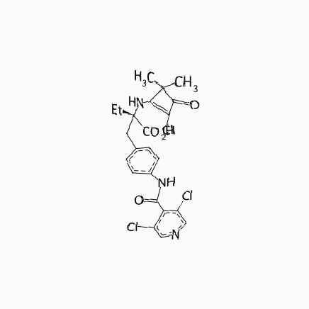 CC[C@@](Cc1ccc(NC(=O)c2c(Cl)cncc2Cl)cc1)(NC1=C(Cl)C(=O)C1(C)C)C(=O)O